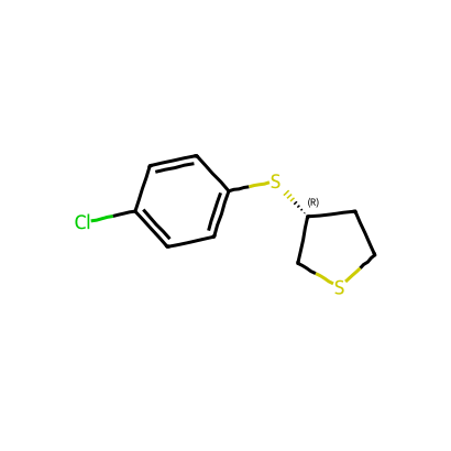 Clc1ccc(S[C@@H]2CCSC2)cc1